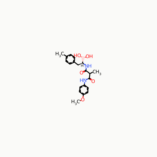 COc1ccc(NC(=O)C(C)C(=O)N[C@@H](Cc2ccc(C)cc2)B(O)O)cc1